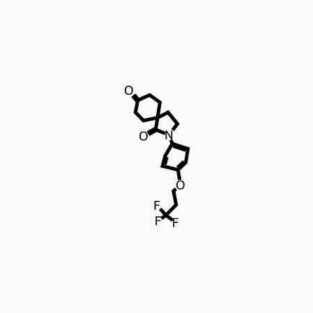 O=C1CCC2(CC1)CCN(c1ccc(OCCC(F)(F)F)cc1)C2=O